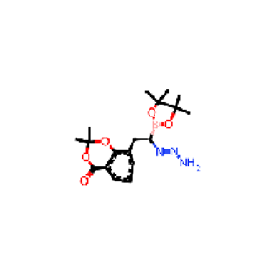 CC1(C)OC(=O)c2cccc(C[C@H](N=NN)B3OC(C)(C)C(C)(C)O3)c2O1